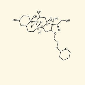 C[C@]12CCC(=O)C=C1CC[C@H]1[C@@H]3CC(OCCOC4CCCCO4)[C@](O)(C(=O)CO)[C@@]3(C)CC(O)[C@@]12F